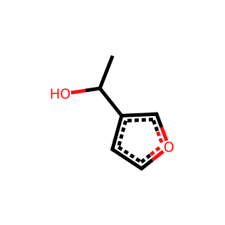 CC(O)c1ccoc1